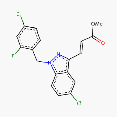 COC(=O)/C=C/c1nn(Cc2ccc(Cl)cc2F)c2ccc(Cl)cc12